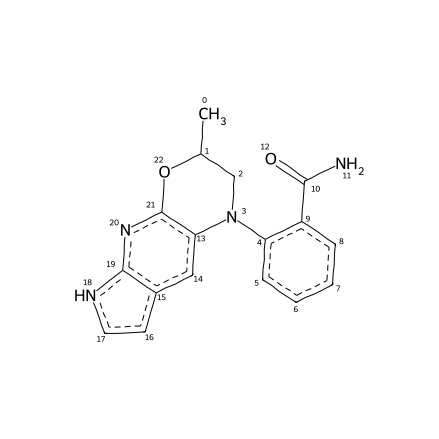 CC1CN(c2ccccc2C(N)=O)c2cc3cc[nH]c3nc2O1